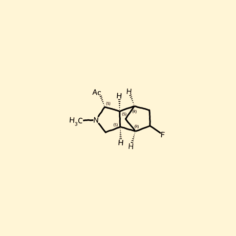 CC(=O)[C@@H]1[C@H]2[C@H]3CC(F)[C@H](C3)[C@H]2CN1C